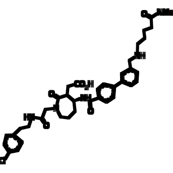 CNC(=O)CCCCNCc1cccc(-c2ccc(C(=O)N[C@H]3CCCN(CC(=O)NCCc4ccc(Cl)cc4)C(=O)C3CC(=O)O)cc2)c1